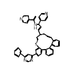 C=C(NC(/C=C/C1/C=C/Sc2cc(-c3cc(-c4ccccc4)ncn3)ccc2-c2ccccc2-c2ccccc2/C=C/C1)c1ccncc1)C1=CC=NCC1